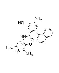 COC(=O)[C@H](CC(C)C)NC(=O)c1ccc(N)cc1-c1cccc2ccccc12.Cl